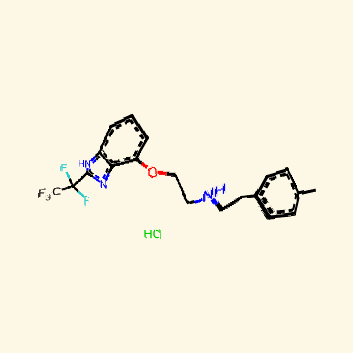 Cc1ccc(CNCCOc2cccc3[nH]c(C(F)(F)C(F)(F)F)nc23)cc1.Cl